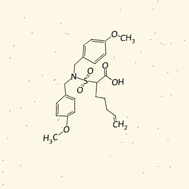 C=CCCCC(C(=O)O)S(=O)(=O)N(Cc1ccc(OC)cc1)Cc1ccc(OC)cc1